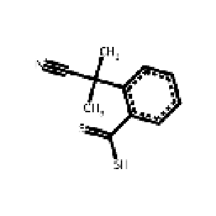 CC(C)(C#N)c1ccccc1C(=S)S